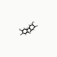 Cc1cc2oc3cc(C)c(C)cc3c2cc1C